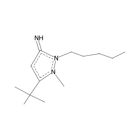 CCCCCn1c(=N)cc(C(C)(C)C)n1C